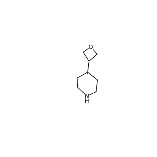 C1C[C](C2COC2)CCN1